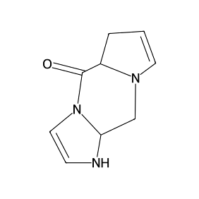 O=C1C2CC=CN2CC2NC=CN12